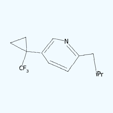 CC(C)Cc1ccc(C2(C(F)(F)F)CC2)cn1